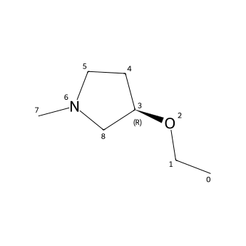 CCO[C@@H]1CCN(C)C1